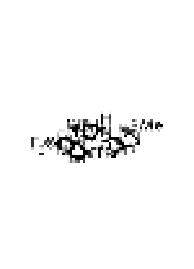 CSc1ncc(Br)c(C(=O)N[C@H]2CC[C@@H](N(C)c3cc(C(F)(F)F)nc4ccc(Cl)cc34)CC2)n1